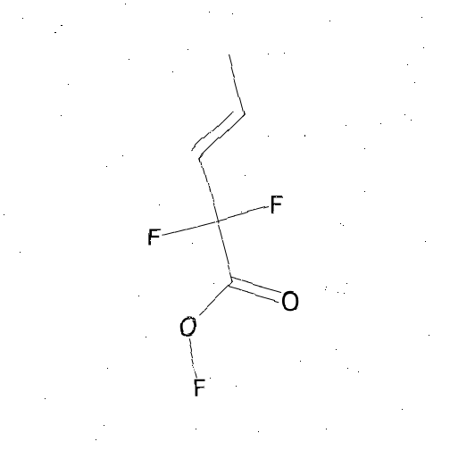 CC=CC(F)(F)C(=O)OF